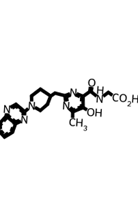 Cc1nc(CC2CCN(c3cnc4ccccc4n3)CC2)nc(C(=O)NCC(=O)O)c1O